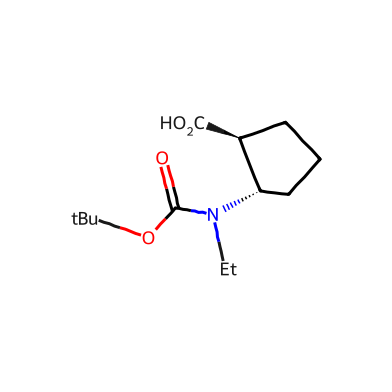 CCN(C(=O)OC(C)(C)C)[C@H]1CCC[C@@H]1C(=O)O